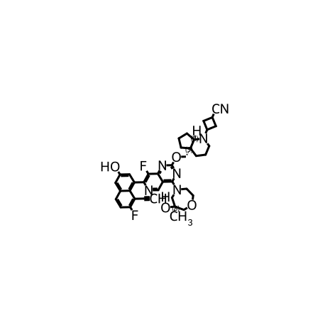 C#Cc1c(F)ccc2cc(O)cc(-c3ncc4c(N5CCOC[C@@](C)(O)C5)nc(OC[C@]56CCC[C@H]5N(C5CC(C#N)C5)CCC6)nc4c3F)c12